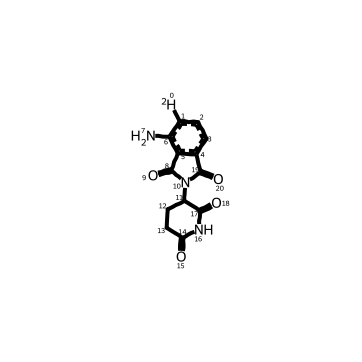 [2H]c1ccc2c(c1N)C(=O)N(C1CCC(=O)NC1=O)C2=O